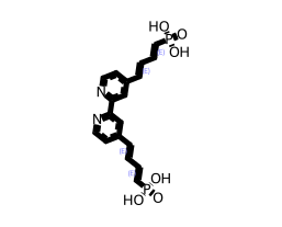 O=P(O)(O)/C=C/C=C/c1ccnc(-c2cc(/C=C/C=C/P(=O)(O)O)ccn2)c1